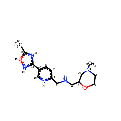 CN1CCOC(CNCc2ccc(-c3noc(C(F)(F)F)n3)cn2)C1